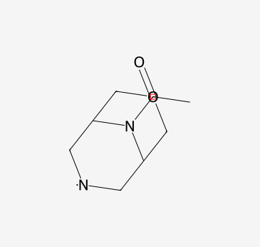 CC(=O)N1C2C[N]CC1COC2